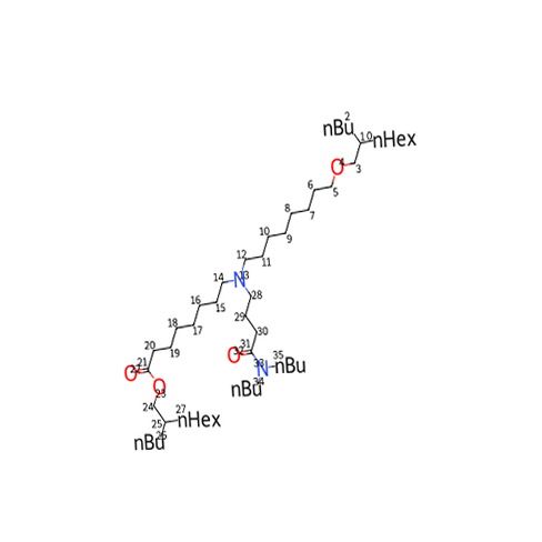 CCCCCCC(CCCC)COCCCCCCCCN(CCCCCCCC(=O)OCC(CCCC)CCCCCC)CCCC(=O)N(CCCC)CCCC